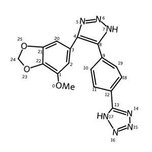 COc1cc(-c2nn[nH]c2-c2ccc(-c3nnn[nH]3)cc2)cc2c1OCO2